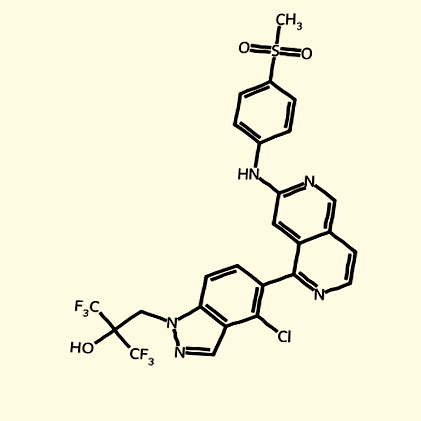 CS(=O)(=O)c1ccc(Nc2cc3c(-c4ccc5c(cnn5CC(O)(C(F)(F)F)C(F)(F)F)c4Cl)nccc3cn2)cc1